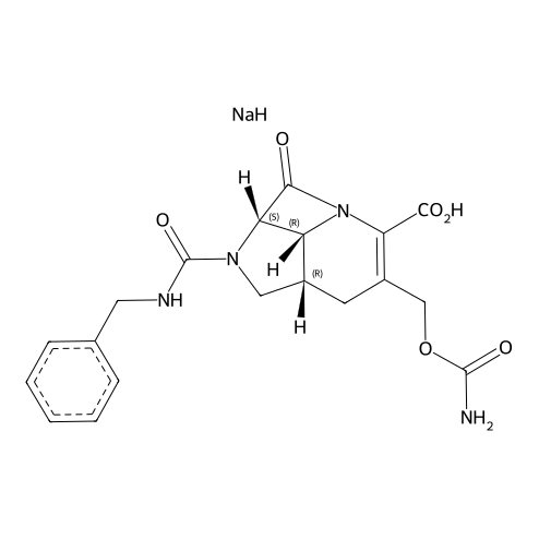 NC(=O)OCC1=C(C(=O)O)N2C(=O)[C@@H]3[C@H]2[C@H](C1)CN3C(=O)NCc1ccccc1.[NaH]